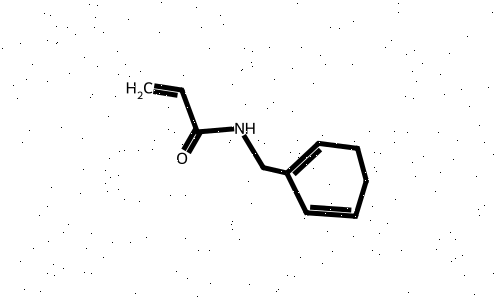 C=CC(=O)NCC1=CCCC=C1